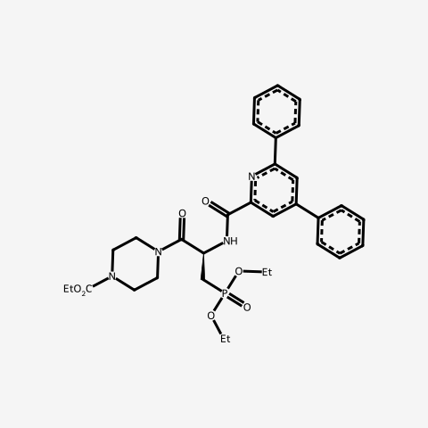 CCOC(=O)N1CCN(C(=O)[C@H](CP(=O)(OCC)OCC)NC(=O)c2cc(-c3ccccc3)cc(-c3ccccc3)n2)CC1